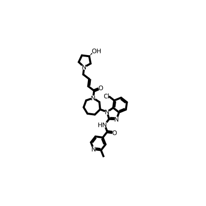 Cc1cc(C(=O)Nc2nc3cccc(Cl)c3n2C2CCCCN(C(=O)/C=C/CN3CC[C@H](O)C3)C2)ccn1